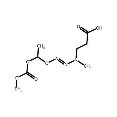 COC(=O)OC(C)ON=NN(C)CCC(=O)O